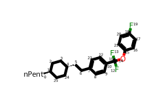 CCCCC[C@H]1CC[C@H](CCc2ccc(C(F)(F)Oc3ccc(F)cc3)cc2)CC1